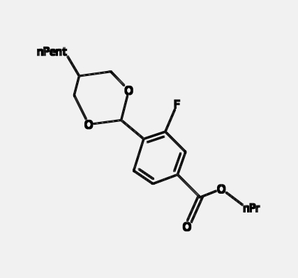 CCCCCC1COC(c2ccc(C(=O)OCCC)cc2F)OC1